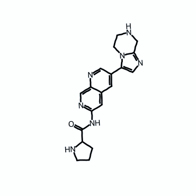 O=C(Nc1cc2cc(-c3cnc4n3CCNC4)cnc2cn1)C1CCCN1